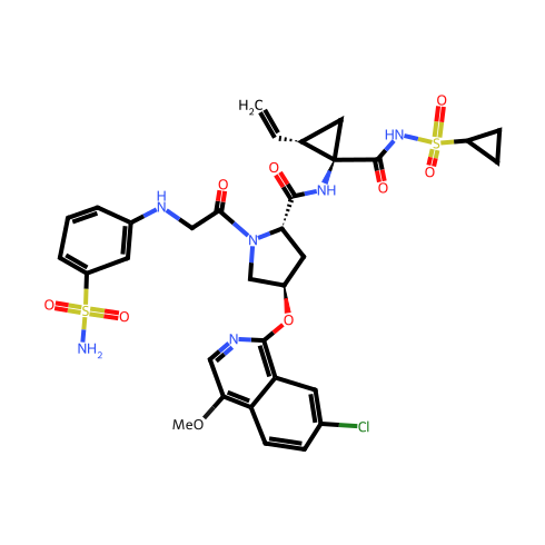 C=C[C@@H]1C[C@]1(NC(=O)[C@@H]1C[C@@H](Oc2ncc(OC)c3ccc(Cl)cc23)CN1C(=O)CNc1cccc(S(N)(=O)=O)c1)C(=O)NS(=O)(=O)C1CC1